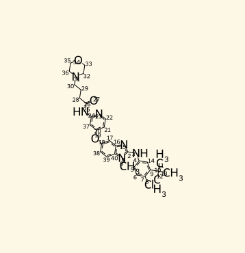 Cn1c(Nc2ccc(Cl)c(C(C)(C)C)c2)nc2cc(Oc3ccnc(NC(=O)CCCN4CCOCC4)c3)ccc21